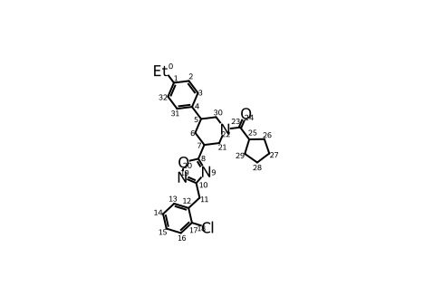 CCc1ccc(C2CC(c3nc(Cc4ccccc4Cl)no3)CN(C(=O)C3CCCC3)C2)cc1